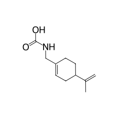 C=C(C)C1CC=C(CNC(=O)O)CC1